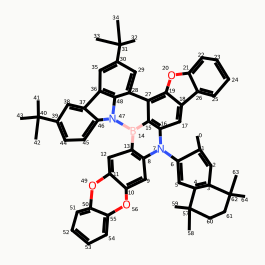 Cc1cc2c(cc1N1c3cc4c(cc3B3c5c1cc1c(oc6ccccc61)c5-c1cc(C(C)(C)C)cc5c6cc(C(C)(C)C)ccc6n3c15)Oc1ccccc1O4)C(C)(C)CCC2(C)C